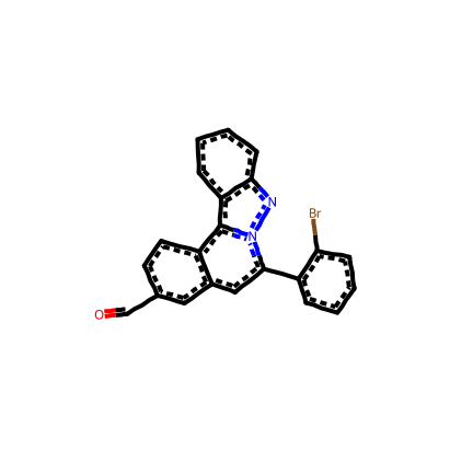 O=Cc1ccc2c(c1)cc(-c1ccccc1Br)n1nc3ccccc3c21